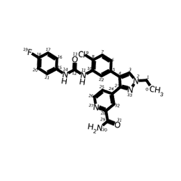 CCn1cc(-c2ccc(Cl)c(NC(=O)Nc3ccc(F)cc3)c2)c(-c2ccnc(C(N)=O)c2)n1